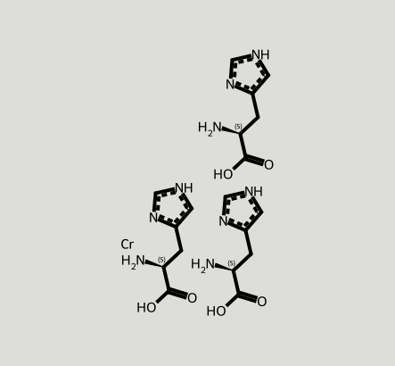 N[C@@H](Cc1c[nH]cn1)C(=O)O.N[C@@H](Cc1c[nH]cn1)C(=O)O.N[C@@H](Cc1c[nH]cn1)C(=O)O.[Cr]